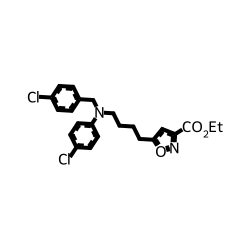 CCOC(=O)c1cc(CCCCN(Cc2ccc(Cl)cc2)c2ccc(Cl)cc2)on1